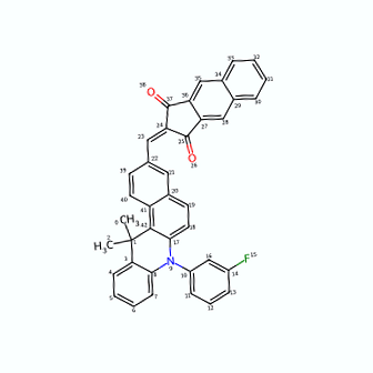 CC1(C)c2ccccc2N(c2cccc(F)c2)c2ccc3cc(C=C4C(=O)c5cc6ccccc6cc5C4=O)ccc3c21